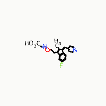 CC1=C(CCON=CC(=O)O)c2cc(F)ccc2C1=Cc1ccncc1